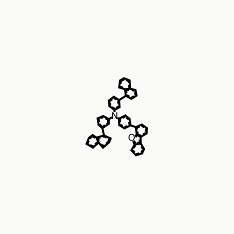 c1cc(-c2cccc3ccccc23)cc(N(c2ccc(-c3cccc4c3oc3ccccc34)cc2)c2cccc(-c3cccc4ccccc34)c2)c1